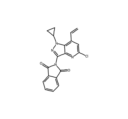 C=Cc1cc(Cl)nc2c(N3C(=O)c4ccccc4C3=O)nn(C3CC3)c12